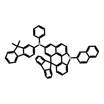 CC1(C)c2ccccc2-c2ccc(N(c3ccccc3)c3cc4c5c(ccc6c5c5c(cccc5n6-c5ccc6ccccc6c5)C45c4ccccc4-c4ccccc45)c3)cc21